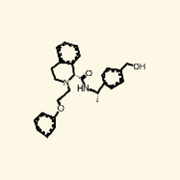 C[C@H](NC(=O)[C@H]1c2ccccc2CCN1CCOc1ccccc1)c1ccc(CO)cc1